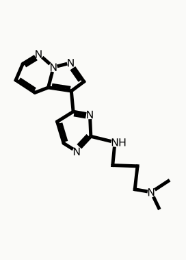 CN(C)CCCNc1nccc(-c2cnn3ncccc23)n1